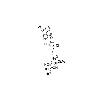 COCC(=O)N(CCCCc1cc(Cl)c(COC2(c3cnccc3-c3ccccc3OC3CC3)CC2)cc1Cl)CC(O)C(O)C(O)C(O)CO